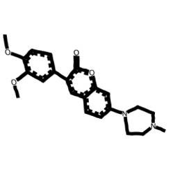 COc1ccc(-c2cc3ccc(N4CCN(C)CC4)cc3oc2=O)cc1OC